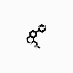 CNCC1OCCc2ccc(-c3ccncn3)cc21